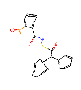 O=C(NSC(=O)C(c1ccccc1)c1ccccc1)c1ccccc1PO